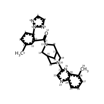 Cc1ccc(-n2nccn2)c(C(=O)N2CC3CC(C2)CN(c2cnc4cccc(C)c4n2)C3)c1